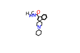 CNC(=O)C1=CC2(CCN(C3CCCCC3)CC2)c2ccccc21